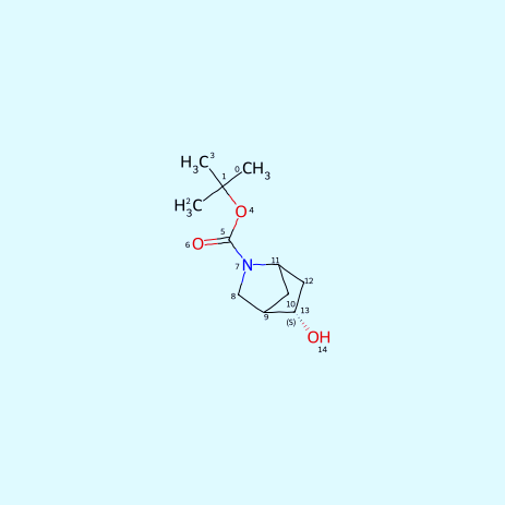 CC(C)(C)OC(=O)N1CC2CC1C[C@@H]2O